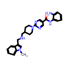 Cn1cc(CNCC2CCN(c3ncc(C(=O)Nc4ccccc4N)cn3)CC2)c2ccccc21